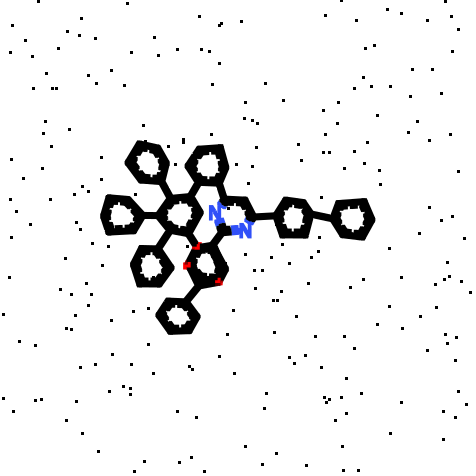 c1ccc(-c2ccc(-c3cc(-c4ccccc4-c4cc(-c5ccccc5)c(-c5ccccc5)c(-c5ccccc5)c4-c4ccccc4)nc(-c4ccc(-c5ccccc5)cc4)n3)cc2)cc1